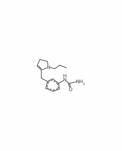 CCCN1CCC=C1Cc1cccc(NC(N)=O)c1